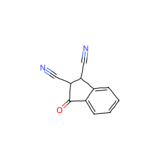 N#CC1C(=O)c2ccccc2C1C#N